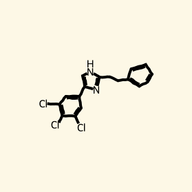 Clc1cc(-c2c[nH]c(CCc3ccccc3)n2)cc(Cl)c1Cl